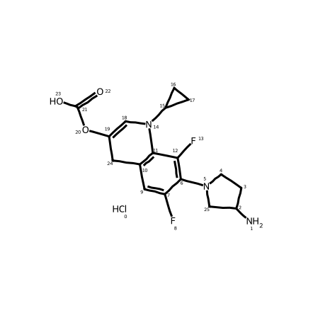 Cl.NC1CCN(c2c(F)cc3c(c2F)N(C2CC2)C=C(OC(=O)O)C3)C1